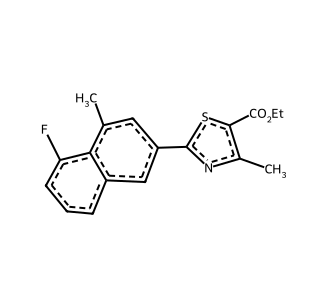 CCOC(=O)c1sc(-c2cc(C)c3c(F)cccc3c2)nc1C